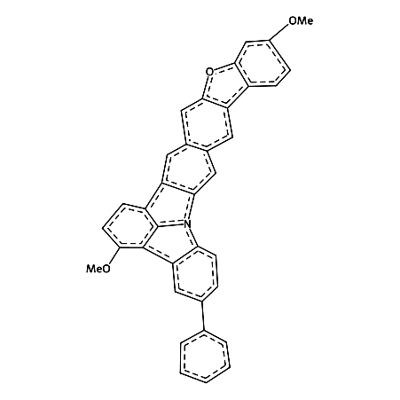 COc1ccc2c(c1)oc1cc3cc4c5ccc(OC)c6c7cc(-c8ccccc8)ccc7n(c4cc3cc12)c56